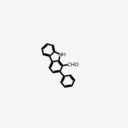 O=Cc1c(-c2ccccc2)ccc2c1[nH]c1ccccc12